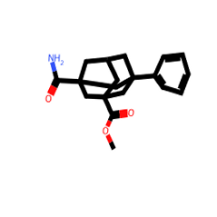 COC(=O)C12CC3CC(C(N)=O)(C1)CC(c1ccccc1)(C3)C2